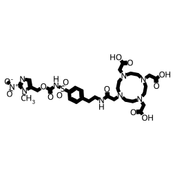 Cn1c(COC(=O)NS(=O)(=O)c2ccc(CCNC(=O)CN3CCN(CC(=O)O)CCN(CC(=O)O)CCN(CC(=O)O)CC3)cc2)cnc1[N+](=O)[O-]